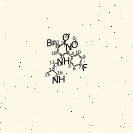 COn1c(-c2ccc(F)cc2)c(N/C=C(/C)C=N)cc(Br)c1=O